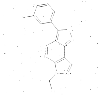 CCn1ncc2c3noc(-c4cccc(Cl)c4)c3cnc21